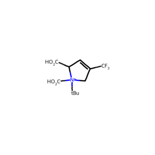 CC(C)(C)[N+]1(C(=O)O)CC(C(F)(F)F)=CC1C(=O)O